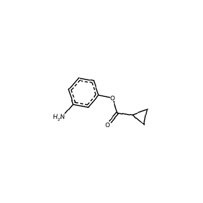 Nc1cccc(OC(=O)C2CC2)c1